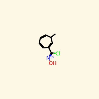 CC1C=CC=CC(/C(Cl)=N/O)=C1